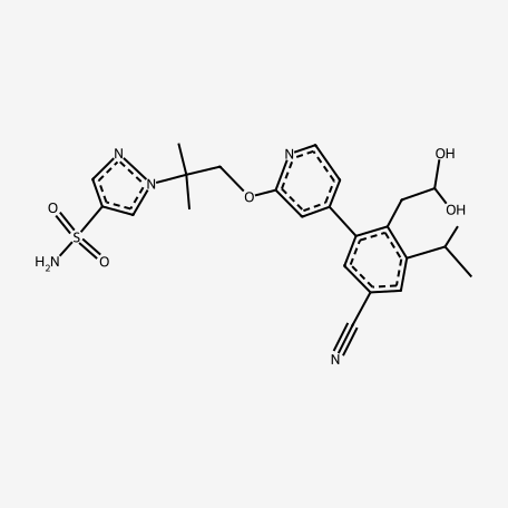 CC(C)c1cc(C#N)cc(-c2ccnc(OCC(C)(C)n3cc(S(N)(=O)=O)cn3)c2)c1CC(O)O